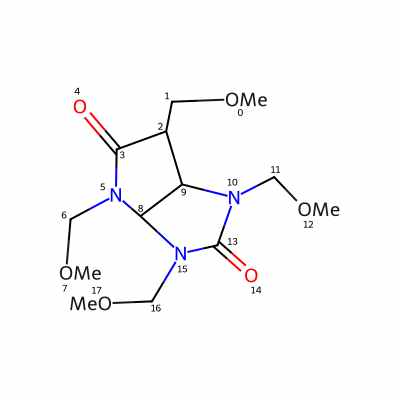 COCC1C(=O)N(COC)C2C1N(COC)C(=O)N2COC